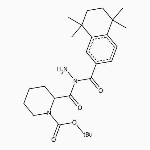 CC(C)(C)OC(=O)N1CCCCC1C(=O)N(N)C(=O)c1ccc2c(c1)C(C)(C)CCC2(C)C